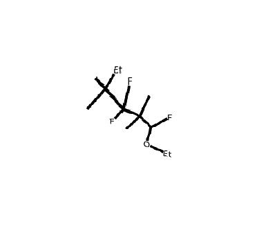 CCOC(F)C(C)(C)C(F)(F)C(C)(C)CC